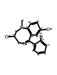 CN1CC(Cl)CN=C(c2ccccc2Br)c2cc(Cl)ccc21